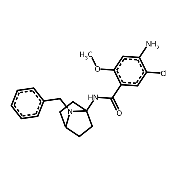 COc1cc(N)c(Cl)cc1C(=O)NC12CCC(CC1)N2Cc1ccccc1